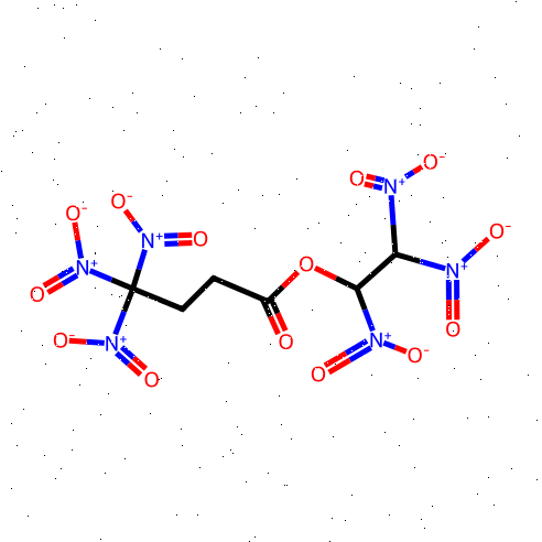 O=C(CCC([N+](=O)[O-])([N+](=O)[O-])[N+](=O)[O-])OC(C([N+](=O)[O-])[N+](=O)[O-])[N+](=O)[O-]